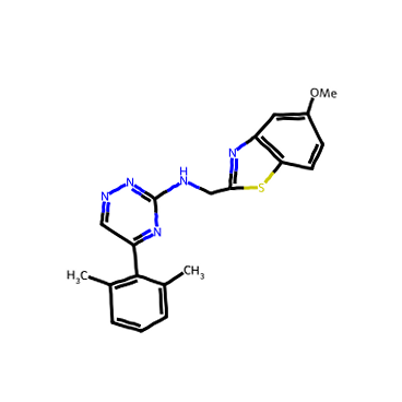 COc1ccc2sc(CNc3nncc(-c4c(C)cccc4C)n3)nc2c1